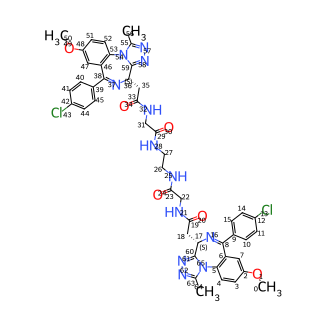 COc1ccc2c(c1)C(c1ccc(Cl)cc1)=N[C@@H](CC(=O)NCC(=O)NCCNC(=O)CNC(=O)C[C@@H]1N=C(c3ccc(Cl)cc3)c3cc(OC)ccc3-n3c(C)nnc31)c1nnc(C)n1-2